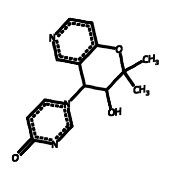 CC1(C)Oc2ccncc2C(n2ccc(=O)nc2)C1O